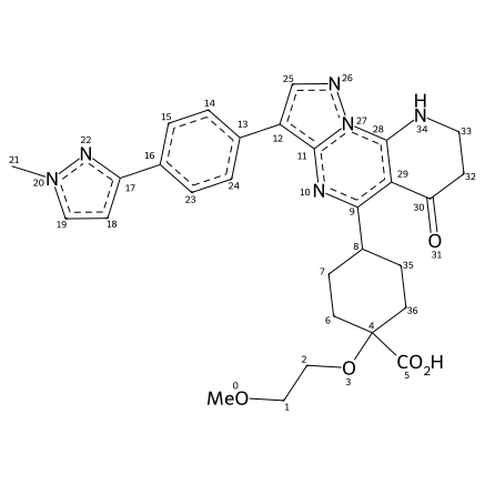 COCCOC1(C(=O)O)CCC(c2nc3c(-c4ccc(-c5ccn(C)n5)cc4)cnn3c3c2C(=O)CCN3)CC1